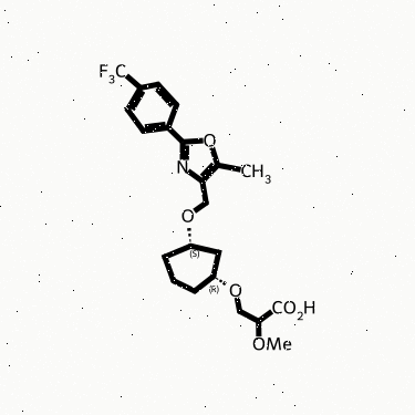 COC(CO[C@@H]1CCC[C@H](OCc2nc(-c3ccc(C(F)(F)F)cc3)oc2C)C1)C(=O)O